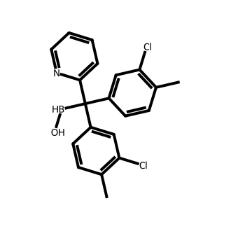 Cc1ccc(C(BO)(c2ccc(C)c(Cl)c2)c2ccccn2)cc1Cl